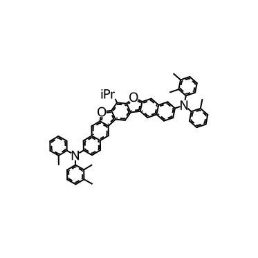 Cc1ccccc1N(c1ccc2cc3c(cc2c1)oc1c(C(C)C)c2oc4cc5cc(N(c6ccccc6C)c6cccc(C)c6C)ccc5cc4c2cc13)c1cccc(C)c1C